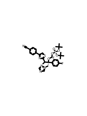 CC(c1nc(-c2ccc(C#N)cc2)cs1)[C@@](Cn1cncn1)(OCOP(=O)(OC(C)(C)C)OC(C)(C)C)c1ccc(F)cc1F